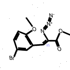 COC(=O)/C(=C/c1cc(Br)ccc1OC)N=[N+]=[N-]